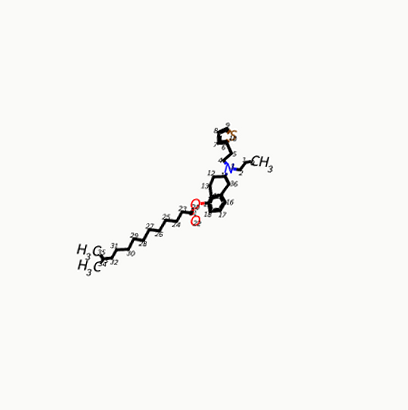 CCCN(CCc1cccs1)C1CCc2c(cccc2OC(=O)CCCCCCCCCCC(C)C)C1